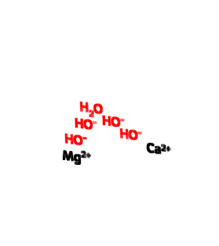 O.[Ca+2].[Mg+2].[OH-].[OH-].[OH-].[OH-]